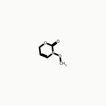 CON1C=CCOC1=O